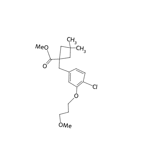 COCCCOc1cc(CC2(C(=O)OC)CC(C)(C)C2)ccc1Cl